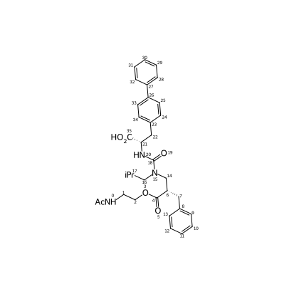 CC(=O)NCCOC(=O)[C@@H](Cc1ccccc1)CN(CC(C)C)C(=O)N[C@@H](Cc1ccc(-c2ccccc2)cc1)C(=O)O